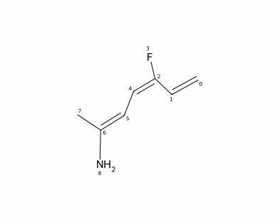 C=C/C(F)=C\C=C(/C)N